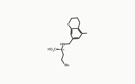 Cc1cc(CN[C@@H](CCC(C)(C)C)C(=O)O)cc2c1CCCO2